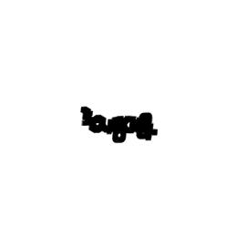 CCSc1ccc(CN2CCC3(CCN(C(=O)OC(C)(C)C)CC3)C2=O)cc1